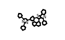 c1ccc(-c2cc(-c3ccc(-c4sc5c(c(-c6ccccc6)nc6ccccc65)c4-c4cccc5ccccc45)cc3)nc(-c3ccccc3)n2)cc1